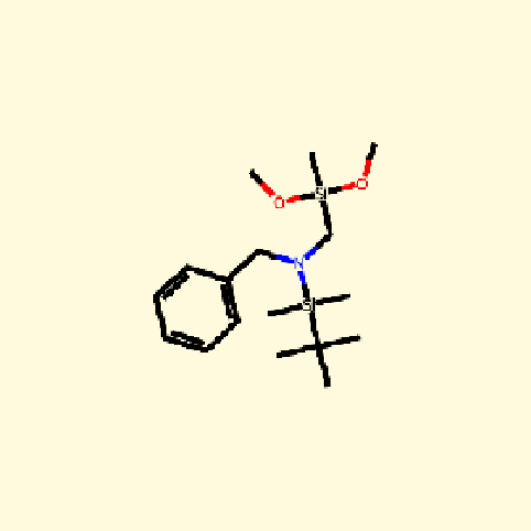 CO[Si](C)(CN(Cc1ccccc1)[Si](C)(C)C(C)(C)C)OC